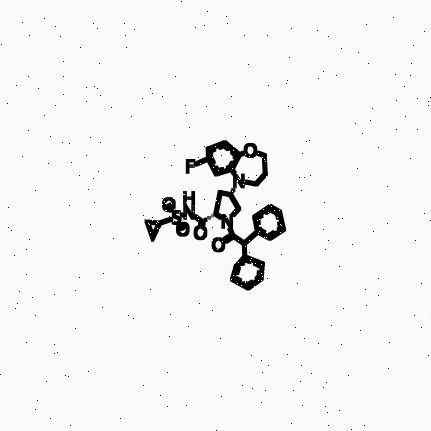 O=C(NS(=O)(=O)C1CC1)[C@@H]1C[C@H](N2CCCOc3ccc(F)cc32)CN1C(=O)C(c1ccccc1)c1ccccc1